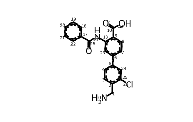 NCc1ccc(-c2ccc(C(=O)O)c(NC(=O)c3ccccc3)c2)cc1Cl